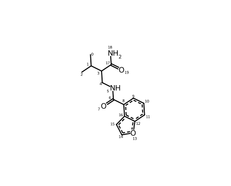 CC(C)C(CNC(=O)c1cccc2occc12)C(N)=O